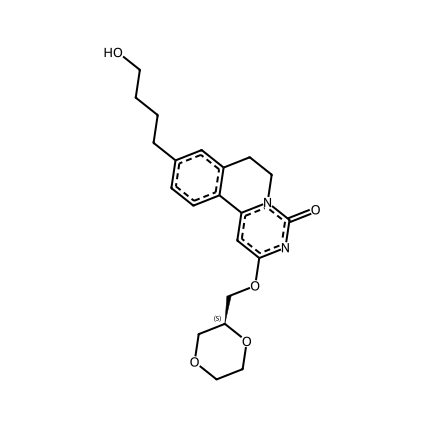 O=c1nc(OC[C@@H]2COCCO2)cc2n1CCc1cc(CCCCO)ccc1-2